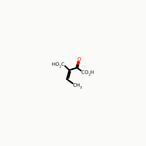 CC=C(C(=O)O)C(=O)C(=O)O